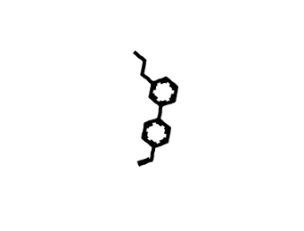 C=Cc1ccc(-c2cccc(CCC)c2)cc1